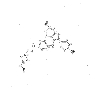 Oc1ccc(-c2sc3cc(O)ccc3c2Oc2ccc(OCCN3CC(CF)C3)cc2)cc1